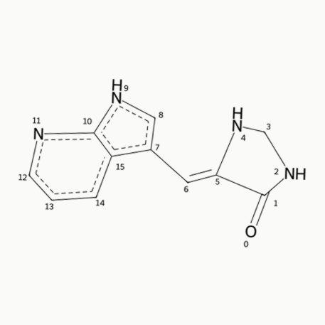 O=C1NCN/C1=C\c1c[nH]c2ncccc12